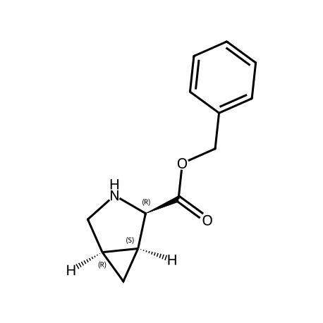 O=C(OCc1ccccc1)[C@@H]1NC[C@@H]2C[C@@H]21